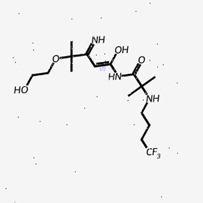 CC(C)(NCCCC(F)(F)F)C(=O)N/C(O)=C/C(=N)C(C)(C)OCCO